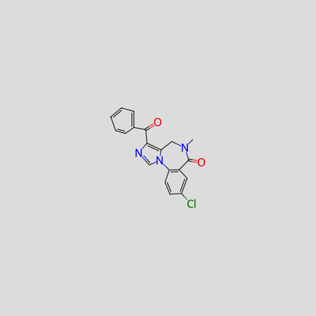 CN1Cc2c(C(=O)c3ccccc3)ncn2-c2ccc(Cl)cc2C1=O